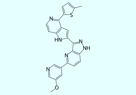 COc1cncc(-c2ccc3[nH]nc(-c4cc5c(-c6ccc(C)s6)nccc5[nH]4)c3n2)c1